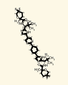 CC(C)(C)[C@H](NC(=O)[C@@]1(C)CCC(F)(F)CO1)c1ncc(-c2ccc(-c3ncc(-c4cnc([C@@H](NC(=O)[C@@]5(C)CCC(F)(F)CO5)C(C)(C)C)[nH]4)cn3)cc2)[nH]1